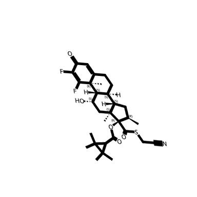 C[C@@H]1C[C@H]2[C@@H]3CCC4=CC(=O)C(F)=C(F)[C@]4(C)[C@H]3[C@@H](O)C[C@]2(C)[C@@]1(OC(=O)C1C(C)(C)C1(C)C)C(=O)SCC#N